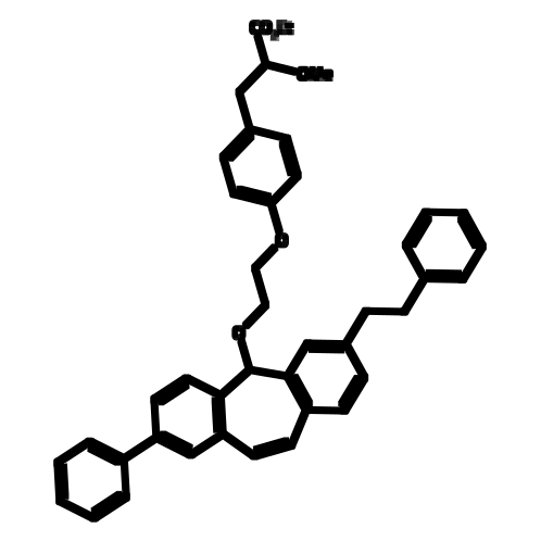 CCOC(=O)C(Cc1ccc(OCCOC2c3ccc(-c4ccccc4)cc3C=Cc3ccc(CCc4ccccc4)cc32)cc1)OC